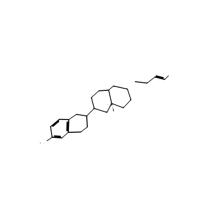 C/C=C/CC[C@@H]1CC[C@@H]2CC(C3CCc4cc(CCCC)ccc4C3)CCC2C1